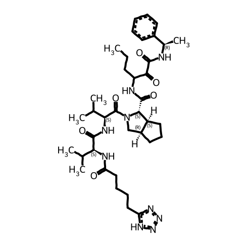 CCCC(NC(=O)[C@@H]1[C@H]2CCC[C@H]2CN1C(=O)[C@@H](NC(=O)[C@@H](NC(=O)CCCCc1nnn[nH]1)C(C)C)C(C)C)C(=O)C(=O)N[C@H](C)c1ccccc1